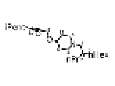 CCCCCCC(CCC)CN1CCC(OCC#CC(C)CCC)CC1